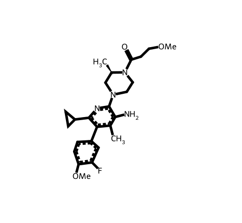 COCCC(=O)N1CCN(c2nc(C3CC3)c(-c3ccc(OC)c(F)c3)c(C)c2N)C[C@H]1C